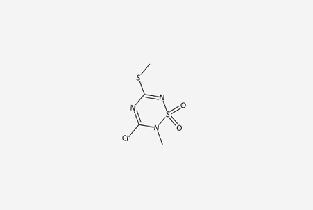 CSC1=NS(=O)(=O)N(C)C(Cl)=N1